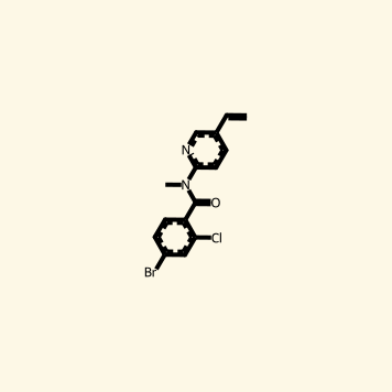 C=Cc1ccc(N(C)C(=O)c2ccc(Br)cc2Cl)nc1